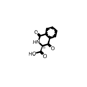 O=C1N[C@H](C(=O)O)C(=O)c2ccccc21